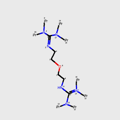 CC(C)N(C(=NCCOCCNC(N(C(C)C)C(C)C)=[N+](C(C)C)C(C)C)N(C(C)C)C(C)C)C(C)C